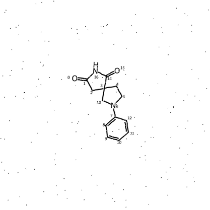 O=C1CC2(CCN(c3ccccc3)C2)C(=O)N1